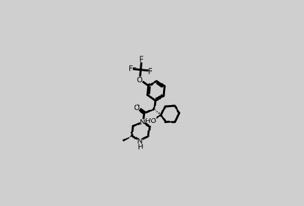 C[C@H]1CN(C(=O)[C@H](c2cccc(OC(F)(F)F)c2)C2(O)CCCCC2)CCN1